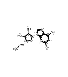 COC[C@H]1O[C@@H](n2cnc3c(O)nc(O)nc32)[C@H](O)[C@@H]1O